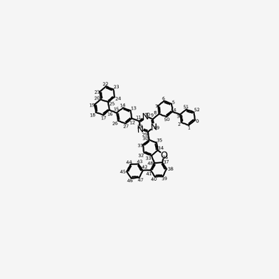 c1ccc(-c2cccc(-c3nc(-c4ccc(-c5cccc6ccccc56)cc4)nc(-c4ccc5c(c4)oc4cccc(-c6ccccc6)c45)n3)c2)cc1